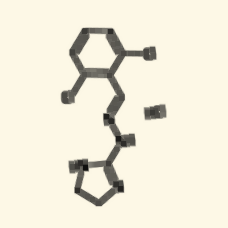 Cl.Clc1cccc(Cl)c1/C=N/NC1=NCCN1